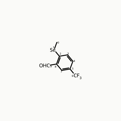 C[Se]c1ccc(C(F)(F)F)cc1C=O